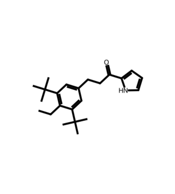 CCc1c(C(C)(C)C)cc(CCC(=O)c2ccc[nH]2)cc1C(C)(C)C